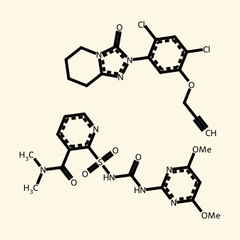 C#CCOc1cc(-n2nc3n(c2=O)CCCC3)c(Cl)cc1Cl.COc1cc(OC)nc(NC(=O)NS(=O)(=O)c2ncccc2C(=O)N(C)C)n1